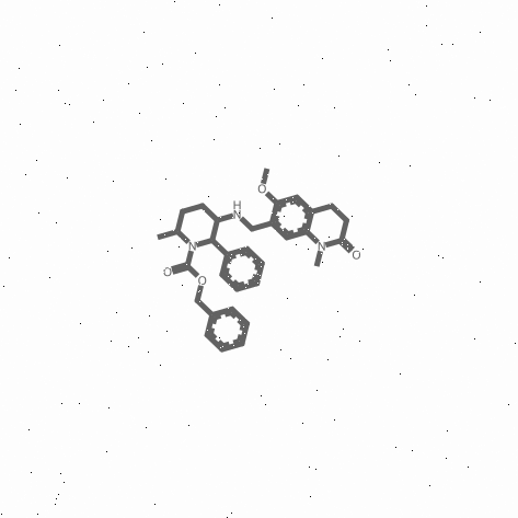 COc1cc2c(cc1CNC1CCC(C)N(C(=O)OCc3ccccc3)C1c1ccccc1)N(C)C(=O)CC2